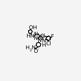 C[C@]1(C(N)=O)CC[C@@H](n2c(Nc3c(Cl)cc(F)cc3Cl)nc3cnc(N[C@H]4CC[C@H](O)C4)nc32)CC1